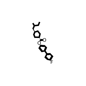 CCC(C)C[C@H]1CC[C@H](C(=O)Oc2ccc(-c3ccc(F)cc3)cc2)CC1